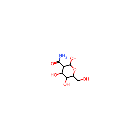 NC(=O)C1C(O)OC(CO)C(O)C1O